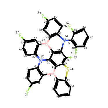 Fc1ccc2c(c1)B1c3ccccc3Sc3c(F)c4c5c(c31)N2c1ccc(F)cc1B5c1cc(F)ccc1N4c1c(F)cccc1F